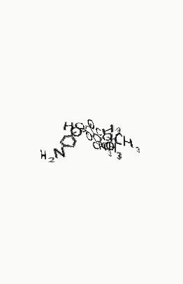 CC(=O)Oc1c(C)c(C)c2c(c1C)C(=O)CC(O)(COc1ccc(N)cc1)O2